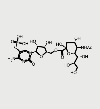 CC(=O)N[C@H]1[C@H]([C@H](O)[C@H](O)CO)O[C@](O)(C(=O)OC[C@H]2O[C@@H](n3cc(OP(=O)(O)O)c(N)nc3=O)[C@H](O)[C@@H]2O)C[C@@H]1O